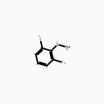 SSc1c(I)cccc1I